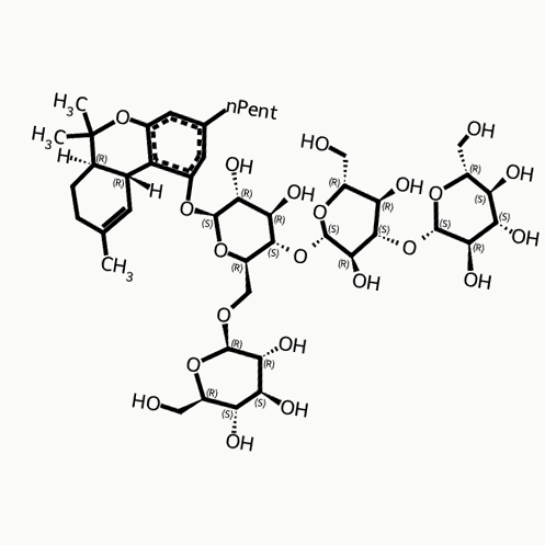 CCCCCc1cc(O[C@@H]2O[C@H](CO[C@@H]3O[C@H](CO)[C@@H](O)[C@H](O)[C@H]3O)[C@@H](O[C@@H]3O[C@H](CO)[C@@H](O)[C@H](O[C@@H]4O[C@H](CO)[C@@H](O)[C@H](O)[C@H]4O)[C@H]3O)[C@H](O)[C@H]2O)c2c(c1)OC(C)(C)[C@@H]1CCC(C)=C[C@@H]21